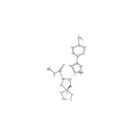 Cc1ccc(-c2c[nH]c([C@@H]3C[C@]4(CCOC4)CN3C(=O)OC(C)(C)C)n2)cc1